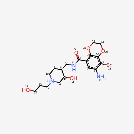 Nc1cc(C(=O)NC[C@@H]2CCN(CCCO)CC2O)c2c(c1Br)OCCO2